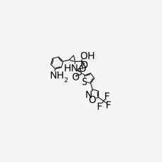 Nc1cccc(C2CC2(NS(=O)(=O)c2ccc(-c3cc(C(F)(F)F)on3)s2)C(=O)O)c1